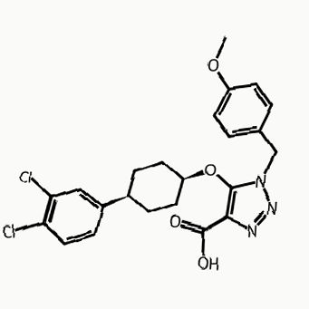 COc1ccc(Cn2nnc(C(=O)O)c2O[C@H]2CC[C@@H](c3ccc(Cl)c(Cl)c3)CC2)cc1